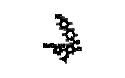 CCc1cc(C2CC2)c(-c2nnc(OC)[nH]2)cc1C(=O)N1CCC(c2ccc(C#N)cc2)CC1